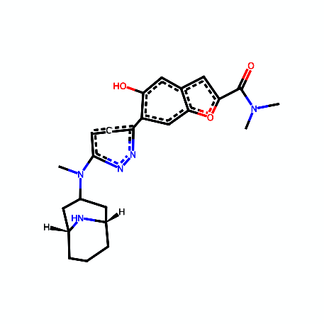 CN(C)C(=O)c1cc2cc(O)c(-c3ccc(N(C)C4C[C@H]5CCC[C@@H](C4)N5)nn3)cc2o1